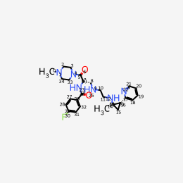 CN1CCN(C(=O)[C@H](CNCCN[C@]2(C)C[C@H]2c2ccccn2)NC(=O)c2ccc(F)cc2)CC1